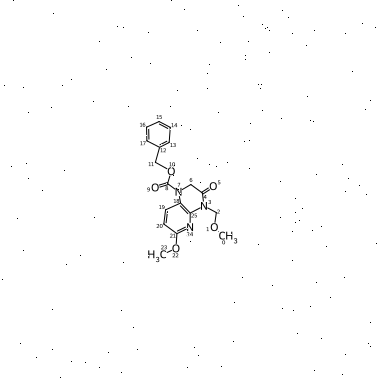 COCN1C(=O)CN(C(=O)OCc2ccccc2)c2ccc(OC)nc21